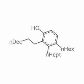 CCCCCCCCCCCCc1c(O)ccc(CCCCCC)c1CCCCCCC